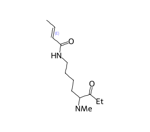 C/C=C/C(=O)NCCCCC(NC)C(=O)CC